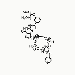 COC(=O)N(C)Cc1ccccc1C(=O)Nc1nc2c(ncn2[C@@H]2OC3CO[P@@](=O)(S)O[C@H]4C[C@H](Oc5ccncn5)C[C@@H]4CO[P@@](=O)(S)O[C@@H]2[C@@H]3O)c(=O)[nH]1